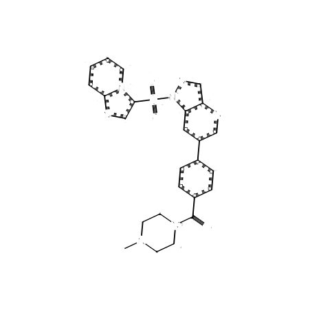 CN1CCN(C(=O)c2ccc(-c3cnc4cnn(S(=O)(=O)c5cnc6ccccn56)c4c3)cc2)CC1